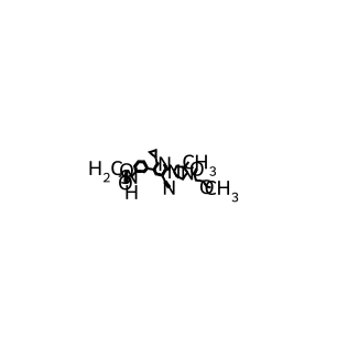 C=CS(=O)(=O)Nc1cccc(-c2cc(C#N)c(N3CCN(C(=O)CCOC)C(C)C3)nc2C2CC2)c1